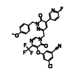 COc1ccc(Cn2nc(Cn3cnc(C(F)(F)F)c(Oc4cc(Cl)cc(C#N)c4)c3=O)cc(-c3ccc(F)nc3)c2=O)cc1